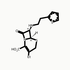 CCC1=C(C(=O)O)N2C(=O)[C@@H](NCCc3cccs3)[C@H]2SC1